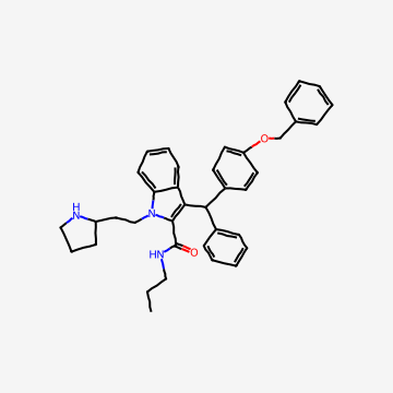 CCCNC(=O)c1c(C(c2ccccc2)c2ccc(OCc3ccccc3)cc2)c2ccccc2n1CCC1CCCN1